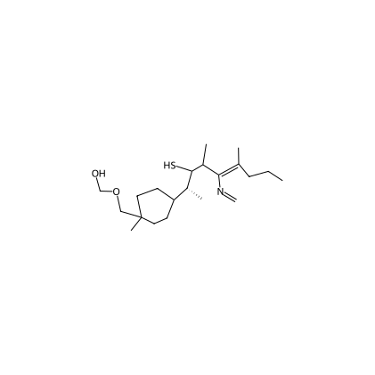 C=N/C(=C(/C)CCC)C(C)C(S)[C@H](C)C1CCC(C)(COCO)CC1